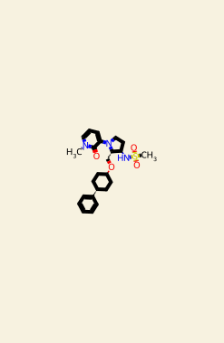 Cn1cccc(N2CC[C@H](NS(C)(=O)=O)[C@@H]2CO[C@H]2CC[C@@H](c3ccccc3)CC2)c1=O